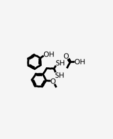 CC(=O)O.COc1ccccc1CC(S)S.Oc1ccccc1